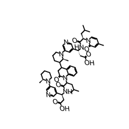 Cc1ccn([C@H](CC(C)C)C(=O)N[C@H](CC(=O)O)c2cncc(N3CCCC(C4CC(=O)N(C(CC(C)C)C(=O)N[C@@H](CC(=O)O)c5cncc(N6CCCC[C@@H]6C)c5)c5ccccc54)[C@@H]3C)c2)c(=O)c1